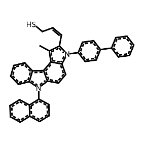 Cc1c(/C=C\CS)n(-c2ccc(-c3ccccc3)cc2)c2ccc3c(c4ccccc4n3-c3cccc4ccccc34)c12